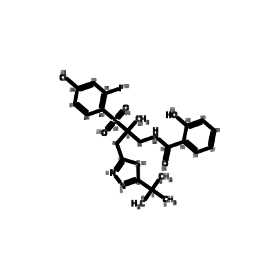 CC(C)(C)c1nnc(CC(C)(CNC(=O)c2ccccc2O)S(=O)(=O)c2ccc(Cl)cc2F)s1